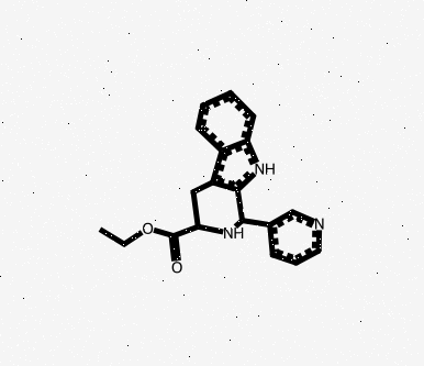 CCOC(=O)C1Cc2c([nH]c3ccccc23)C(c2cccnc2)N1